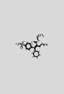 CCOC(=O)/C(CCO)=C(\c1ccc(S(C)(=O)=O)cc1)C1CCCCC1